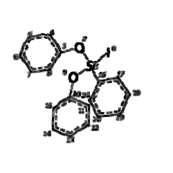 I[Si](Oc1ccccc1)(Oc1ccccc1)c1ccccc1